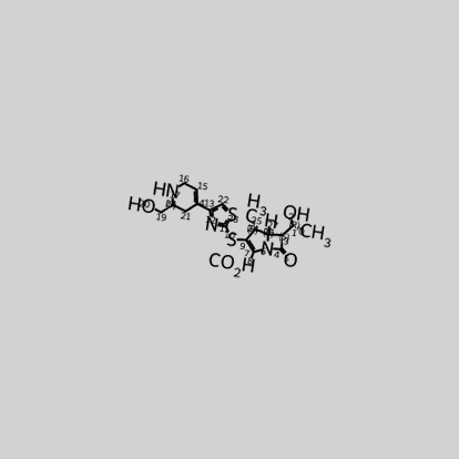 C[C@@H](O)[C@H]1C(=O)N2C(C(=O)O)=C(Sc3nc(C4=CCN[C@H](CO)C4)cs3)[C@H](C)[C@H]12